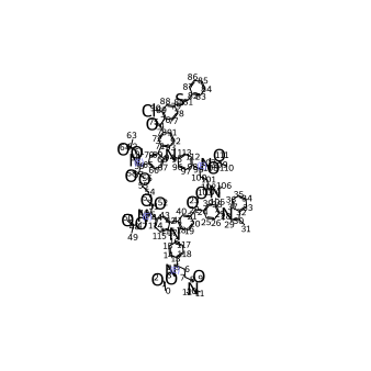 CC(=O)O/N=C(\CCC(=O)N(C)C)c1ccc(-n2c3ccc(C(=O)c4ccc(-n5cc(C)c6ccccc65)cc4)cc3c3cc(/C(=N\OC(C)=O)C(=O)OCCOC(=O)/C(=N/OC(C)=O)c4ccc5c(c4)c4cc(C(=O)c6ccc(SCc7ccccc7)cc6Cl)ccc4n5-c4ccc(/C(CCC(=O)N(C)C)=N/OC(C)=O)cc4)ccc32)cc1